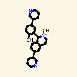 Cc1ccc(-c2cccnc2)cc1-c1c2ccc(-c3cccnc3)cc2cc[n+]1C